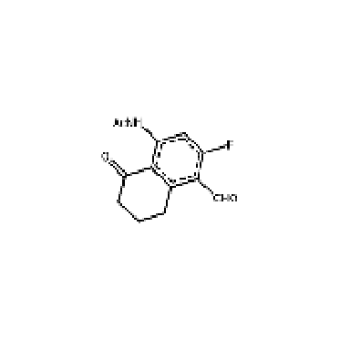 CC(=O)Nc1cc(F)c(C=O)c2c1C(=O)CCC2